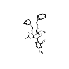 CC(=O)OC1C(n2ccc(N)nc2=O)OC(CF)(COCc2ccccc2)C1OCc1ccccc1